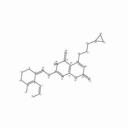 C/C=C\C1=C(C)CCC/C1=N/Oc1nc2oc(=O)cc(CCCC3CC3)c2c(=O)[nH]1